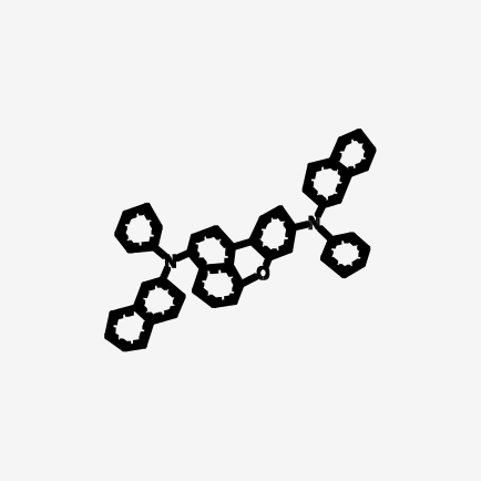 c1ccc(N(c2ccc3c(c2)Oc2cccc4c(N(c5ccccc5)c5ccc6ccccc6c5)ccc-3c24)c2ccc3ccccc3c2)cc1